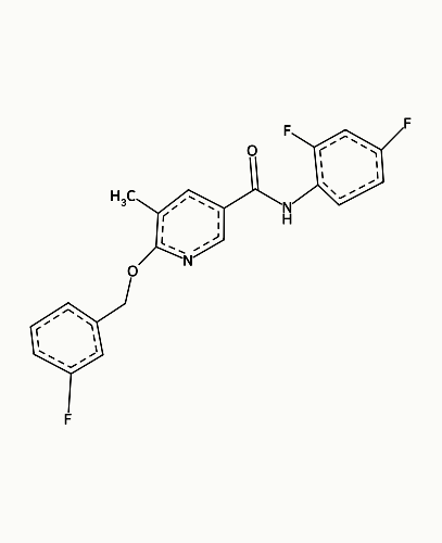 Cc1cc(C(=O)Nc2ccc(F)cc2F)cnc1OCc1cccc(F)c1